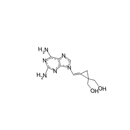 Nc1nc(N)c2ncn(C=C3CC3(CO)CO)c2n1